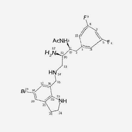 CC(=O)N[C@@H](Cc1cc(F)cc(F)c1)[C@H](N)CNCc1cc(Br)cc2c1NCC2